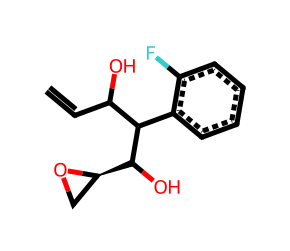 C=CC(O)C(c1ccccc1F)C(O)[C@H]1CO1